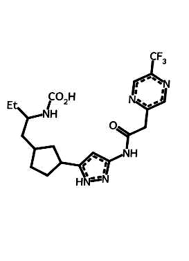 CCC(CC1CCC(c2cc(NC(=O)Cc3cnc(C(F)(F)F)cn3)n[nH]2)C1)NC(=O)O